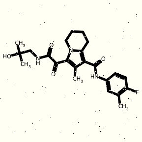 Cc1cc(NC(=O)c2c(C)c(C(=O)C(=O)NCC(C)(C)O)n3c2CCCC3)ccc1F